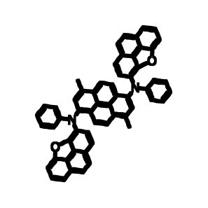 Cc1cc(N(c2ccccc2)c2ccc3ccc4cccc5oc2c3c45)c2ccc3c(C)cc(N(c4ccccc4)c4ccc5ccc6cccc7oc4c5c67)c4ccc1c2c34